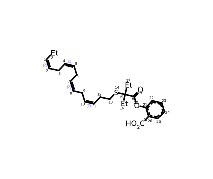 CC/C=C\C/C=C\C/C=C\C/C=C\CCSC(CC)(CC)C(=O)Oc1ccccc1C(=O)O